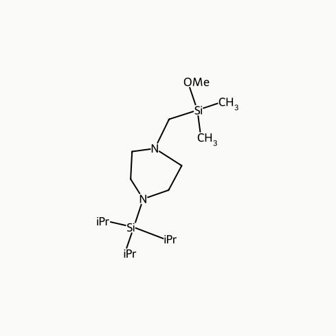 CO[Si](C)(C)CN1CCN([Si](C(C)C)(C(C)C)C(C)C)CC1